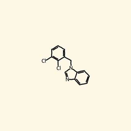 Clc1cccc(Cn2cnc3ccccc32)c1Cl